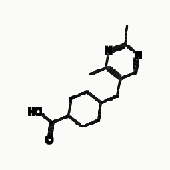 Cc1ncc(CC2CCC(C(=O)O)CC2)c(C)n1